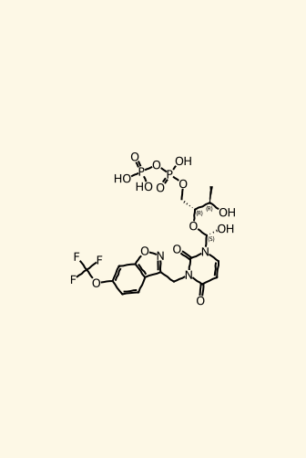 C[C@@H](O)[C@@H](COP(=O)(O)OP(=O)(O)O)O[C@H](O)n1ccc(=O)n(Cc2noc3cc(OC(F)(F)F)ccc23)c1=O